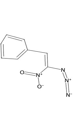 [N-]=[N+]=NC(=Cc1ccccc1)[N+](=O)[O-]